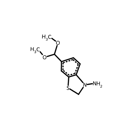 COC(OC)c1ccc2c(c1)SCN2N